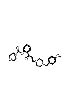 COc1ccc(CN2CCN(C=CC(=O)c3ccccc3OC(=O)N3CCOCC3)CC2)cc1